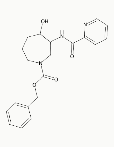 O=C(NC1CN(C(=O)OCc2ccccc2)CCCC1O)c1ccccn1